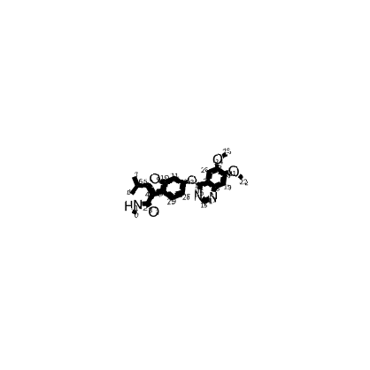 CNC(=O)c1c(C(C)C)oc2cc(Oc3ncnc4cc(OC)c(OC)cc34)ccc12